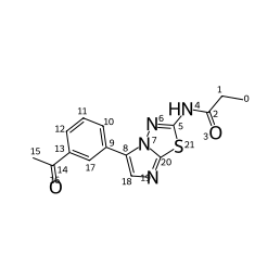 CCC(=O)Nc1nn2c(-c3cccc(C(C)=O)c3)cnc2s1